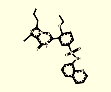 CCCc1nc(C)c2c(=O)[nH]c(-c3cc(S(=O)(=O)Nc4cccc5cccnc45)ccc3OCC)nn12